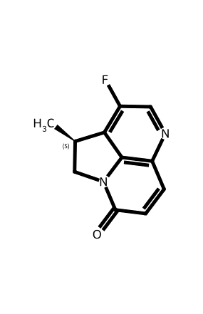 C[C@@H]1Cn2c(=O)ccc3ncc(F)c1c32